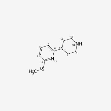 CSc1cccc(N2CCNCC2)n1